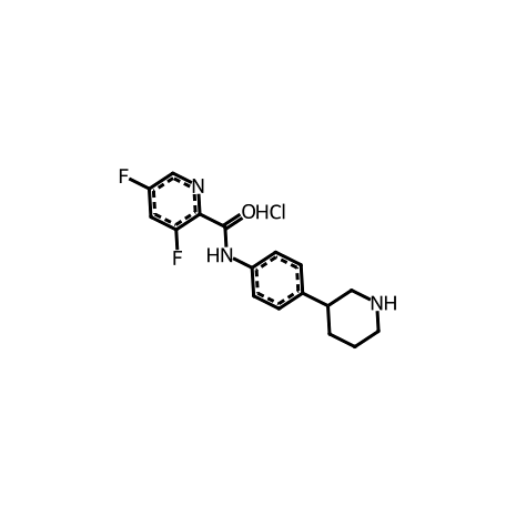 Cl.O=C(Nc1ccc(C2CCCNC2)cc1)c1ncc(F)cc1F